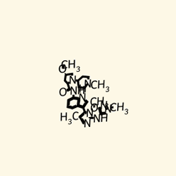 COc1nn(C)cc1Nc1ncc(C)c(-c2c[nH]c3c(NC(=O)C4C[C@H](OC)CN4C4CCN(C)CC4)cccc23)n1